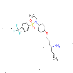 C=CCC(N)CCCOC1CCC(N(CC)S(=O)(=O)c2ccc(C(F)(F)F)cc2)CC1